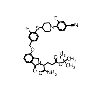 CC(C)(C)OC(=O)CCC(C(N)=O)N1Cc2c(OCc3ccc(SC4CCN(c5ccc(C#N)cc5F)CC4)c(F)c3)cccc2C1=O